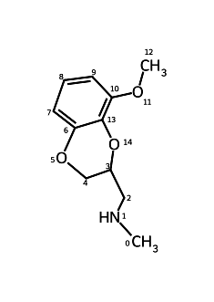 CNCC1COc2cccc(OC)c2O1